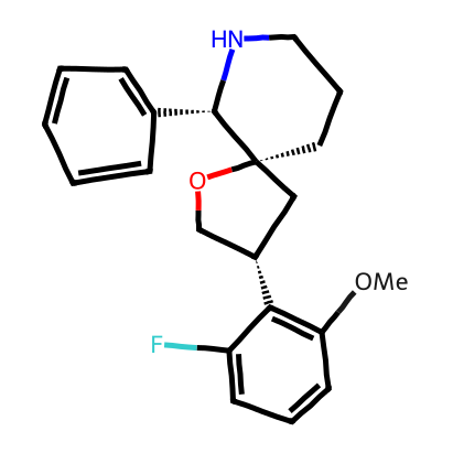 COc1cccc(F)c1[C@@H]1CO[C@]2(CCCN[C@H]2c2ccccc2)C1